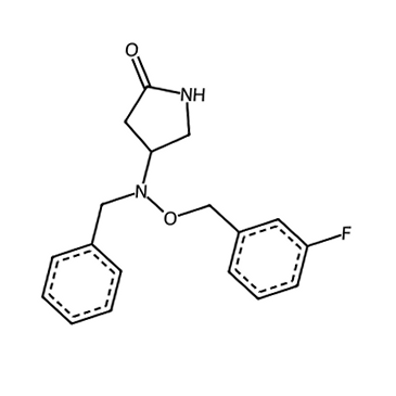 O=C1CC(N(Cc2ccccc2)OCc2cccc(F)c2)CN1